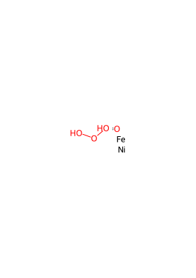 OOO.[Fe].[Ni].[O]